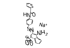 Nc1c(N=Nc2ccc(NC(=O)c3cccs3)cc2)cc(S(=O)(=O)[O-])c2ccccc12.[Na+]